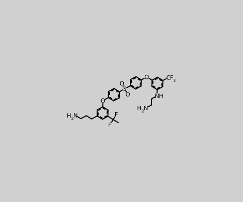 CC(F)(F)c1cc(CCCN)cc(Oc2ccc(S(=O)(=O)c3ccc(Oc4cc(NCCN)cc(C(F)(F)F)c4)cc3)cc2)c1